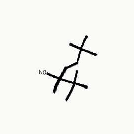 CC(C)(C)CCC(C)(O)C(C)(C)C